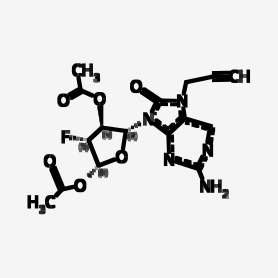 C#CCn1c(=O)n([C@@H]2O[C@H](OC(C)=O)[C@H](F)[C@H]2OC(C)=O)c2nc(N)ncc21